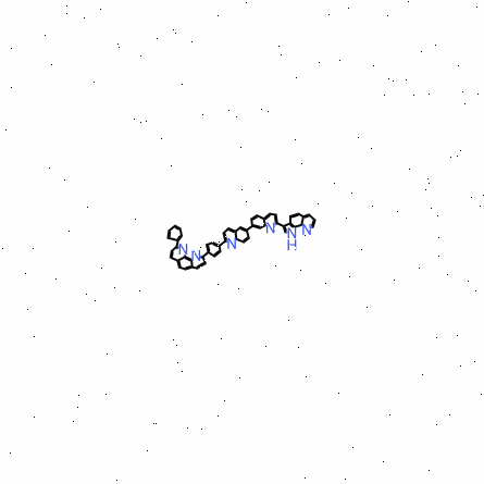 c1ccc(-c2ccc3ccc4ccc(-c5ccc(-c6ccc7cc(-c8ccc9ccc(-c%10c[nH]c%11c%10ccc%10cccnc%10%11)nc9c8)ccc7n6)cc5)nc4c3n2)cc1